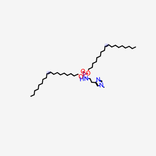 CCCCCCCC/C=C\CCCCCCCCOP(=O)(NCCc1cn(C)cn1)OCCCCCCCC/C=C\CCCCCCCC